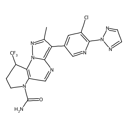 Cc1nn2c3c(cnc2c1-c1cnc(-n2nccn2)c(Cl)c1)N(C(N)=O)CCC3C(F)(F)F